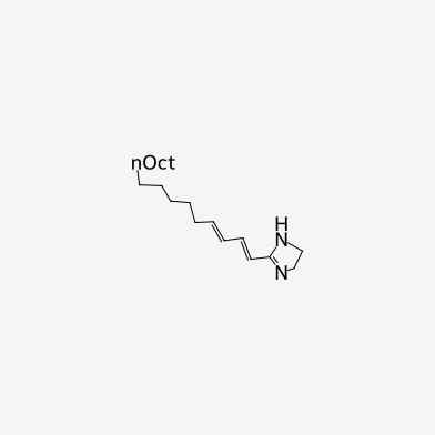 CCCCCCCCCCCCCC=CC=CC1=NCCN1